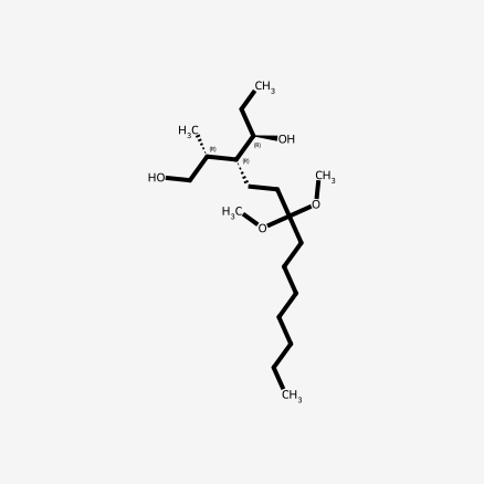 CCCCCCCC(CC[C@@H]([C@H](O)CC)[C@@H](C)CO)(OC)OC